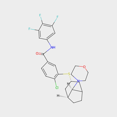 O=C(Nc1cc(F)c(F)c(F)c1)c1ccc(Cl)c(S[C@@H]2CC3CC[C@@H](C2)[C@H]3N2CCOCC2)c1